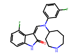 O=C1Nc2cccc(F)c2/C1=C/N(c1cccc(F)c1)C1CCCNCC1